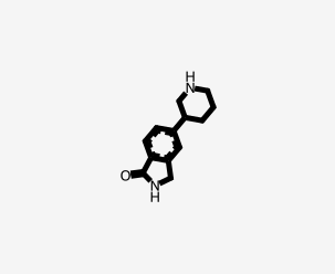 O=C1NCc2cc(C3CCCNC3)ccc21